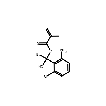 C=C(C)C(=O)OC(O)(CC)c1c(N)cccc1Cl